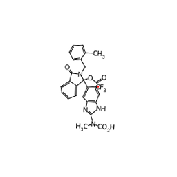 Cc1ccccc1CN1C(=O)c2ccccc2C1(OC(=O)C(F)(F)F)c1ccc2[nH]c(N(C)C(=O)O)nc2c1